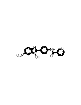 O=C(Nc1ccc(-c2nc3ccc([N+](=O)[O-])cc3n2O)cc1)c1cccnc1